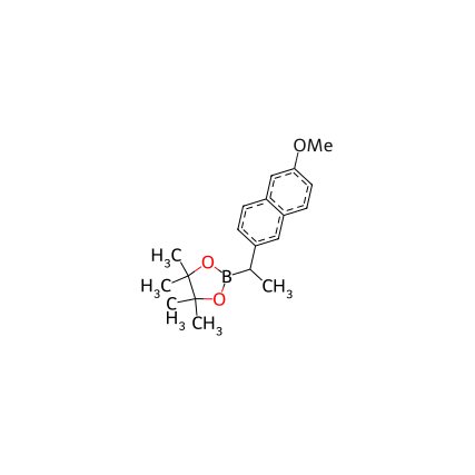 COc1ccc2cc(C(C)B3OC(C)(C)C(C)(C)O3)ccc2c1